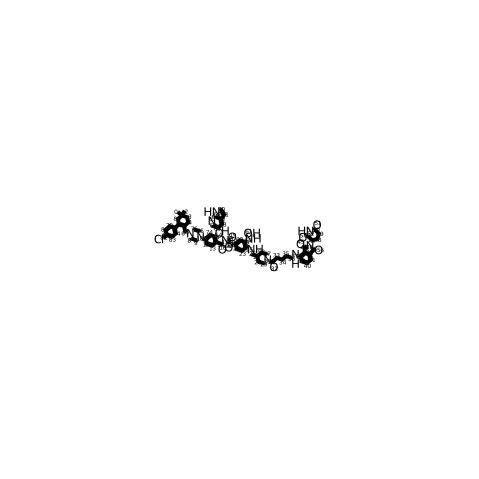 CC1(C)CCC(CN2CCN(c3ccc(C(=O)NS(=O)(=O)c4ccc(NCC5CCN(C(=O)CCCCNc6cccc7c6C(=O)N(C6CCC(=O)NC6=O)C7=O)CC5)c(NO)c4)c(Oc4cnc5[nH]ccc5c4)c3)CC2)=C(c2ccc(Cl)cc2)C1